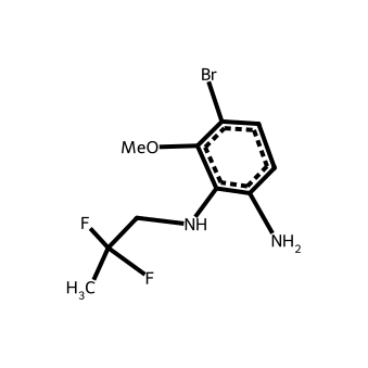 COc1c(Br)ccc(N)c1NCC(C)(F)F